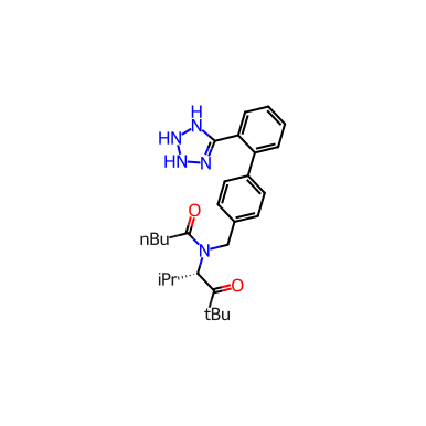 CCCCC(=O)N(Cc1ccc(-c2ccccc2C2=NNNN2)cc1)[C@H](C(=O)C(C)(C)C)C(C)C